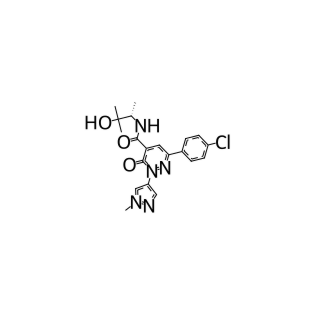 C[C@H](NC(=O)c1cc(-c2ccc(Cl)cc2)nn(-c2cnn(C)c2)c1=O)C(C)(C)O